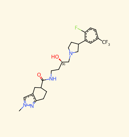 Cn1cc2c(n1)CCC(C(=O)NCC[C@@H](O)CN1CCC(c3cc(C(F)(F)F)ccc3F)C1)C2